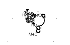 CC[C@@H]1C[C@]1(NC(=O)[C@@H]1C[C@@H]2CN1C(=O)[C@H](C1CCCC1)NC(=O)O[C@]1(C)CCC[C@H]1CCCCCc1nc3ccc(OC)cc3cc1O2)C(=O)NS(=O)(=O)C1CC1